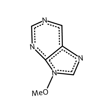 COn1cnc2cncnc21